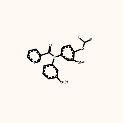 COc1cc(N(C(=O)c2cccnc2)c2cccc(C(=O)O)c2)ccc1OC(F)F